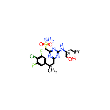 CC(C)C[C@H](CO)Nc1nc(C[C@@H](C)c2cc(F)c(Cl)c(F)c2)nc(CS(N)(=O)=O)n1